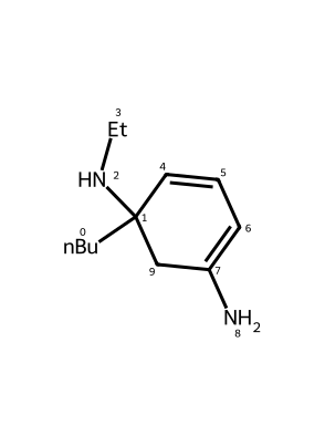 CCCCC1(NCC)C=CC=C(N)C1